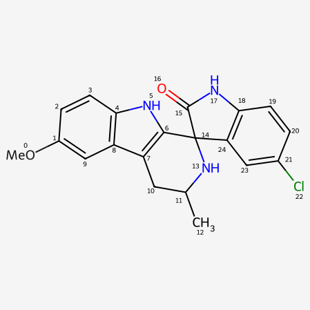 COc1ccc2[nH]c3c(c2c1)CC(C)NC31C(=O)Nc2ccc(Cl)cc21